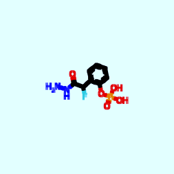 NNC(=O)C(F)c1ccccc1OP(=O)(O)O